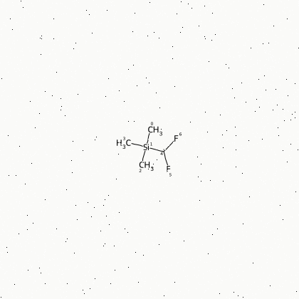 C[Si](C)(C)[C](F)F